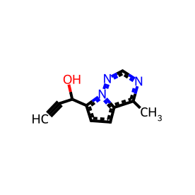 C#CC(O)c1ccc2c(C)ncnn12